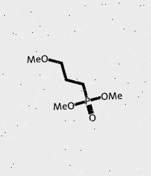 COCCCP(=O)(OC)OC